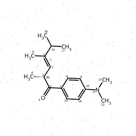 C/C(=C\[C@@H](C)C(=O)c1ccc(N(C)C)cc1)C(C)C